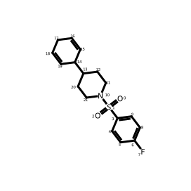 O=S(=O)(c1ccc(F)cc1)N1CCC(C2C=CCC=C2)CC1